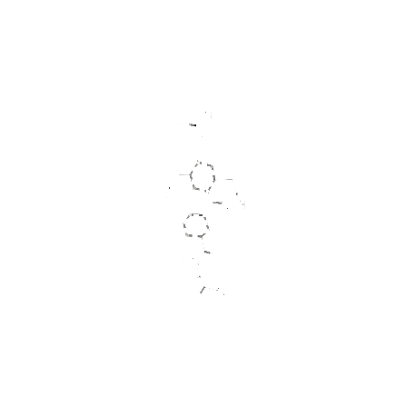 CC1(C)Cc2cc(OCC(N)=O)c3c(c2C(c2cccc(C(=O)NC(C)(C)C(N)=O)c2)=N1)CC(C)(C)O3.Cl